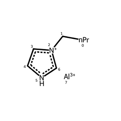 CCCC[n+]1cc[nH]c1.[Al+3]